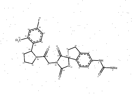 CNC(=O)Nc1ccc2c(c1)CC[C@@]21OC(=O)N(CC(=O)N2CCCC2c2ccc(F)cc2C)C1=O